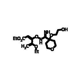 C=C(OCC)/C(=C\C(=O)OCC)ONC(=N)C1(OCCO)CCOCC1